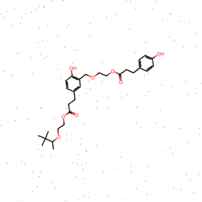 CC(OCCOC(=O)CCc1ccc(O)c(COCCOC(=O)CCc2ccc(O)cc2)c1)C(C)(C)C